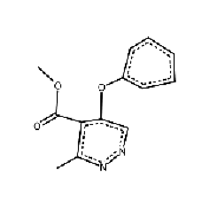 COC(=O)c1c(Oc2ccccc2)cnnc1C